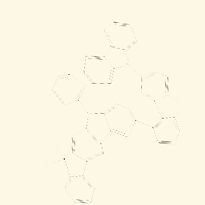 CC1(C)c2ccccc2-c2cc3c4cc(-c5cccc6oc7ccc(-n8c9ccccc9c9ccccc98)cc7c56)ccc4n(-c4ccccc4)c3cc21